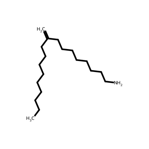 C=C(CCCCCCCCC)CCCCCCCCN